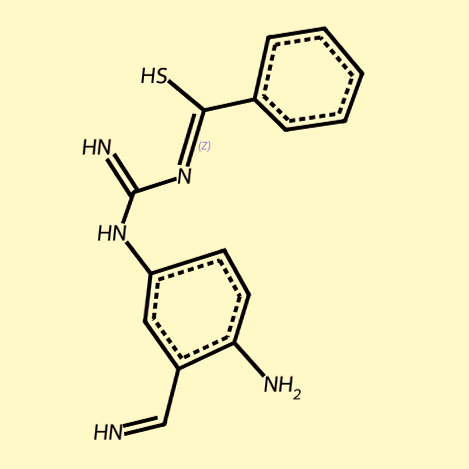 N=Cc1cc(NC(=N)/N=C(\S)c2ccccc2)ccc1N